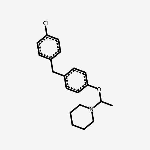 CC(Oc1ccc(Cc2ccc(Cl)cc2)cc1)N1CCCCC1